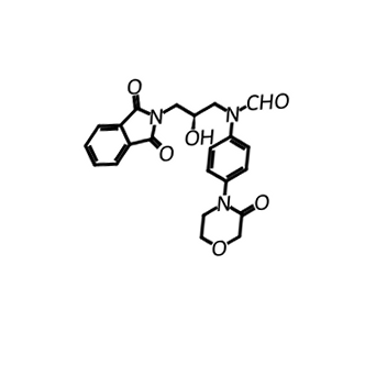 O=CN(C[C@@H](O)CN1C(=O)c2ccccc2C1=O)c1ccc(N2CCOCC2=O)cc1